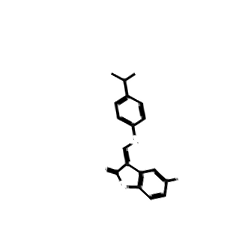 CC(C)c1ccc(N/C=C2/C(=O)Nc3ccc(Cl)cc32)cc1